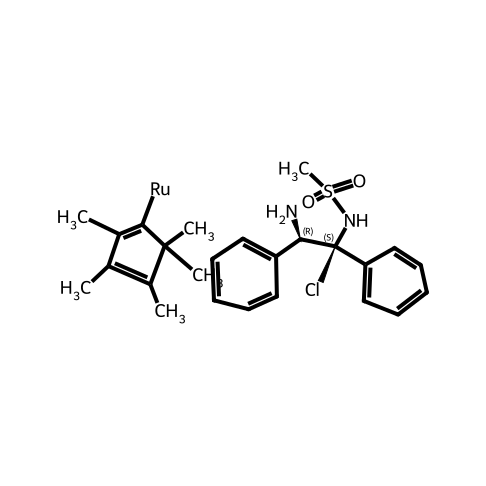 CC1=C(C)C(C)(C)[C]([Ru])=C1C.CS(=O)(=O)N[C@](Cl)(c1ccccc1)[C@H](N)c1ccccc1